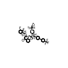 [2H]C([2H])(Sc1cc(=O)c2ccccc2n1CC(=O)N(C1CCN(C([2H])([2H])COC)CC1)C([2H])([2H])c1ccc(-c2ccc(C(F)(F)F)cc2)cc1)c1cccc(F)c1F